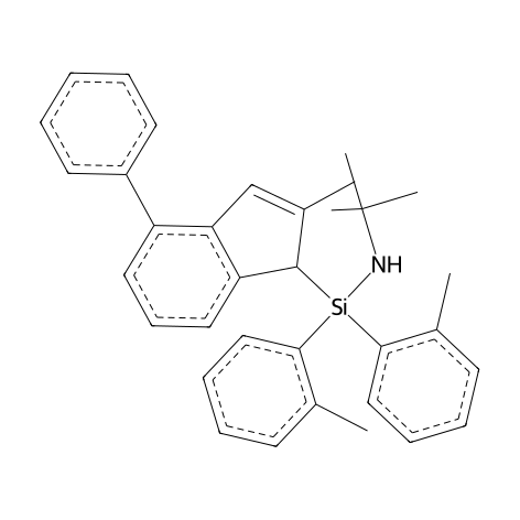 CC1=Cc2c(-c3ccccc3)cccc2C1[Si](NC(C)(C)C)(c1ccccc1C)c1ccccc1C